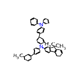 CC1C=C(c2ccc(N(c3ccc(-c4ccc(N(c5ccccc5)c5ccccc5)cc4)cc3)c3ccc4c(c3)C(C)(C)C3=C4CCC=C3)cc2)C=CC1